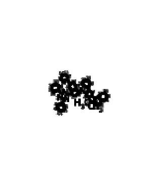 CC1(C)c2cc3c(cc2-c2c1ccc1ccccc21)c1ccccc1n3-c1ccc(-c2nc(-c3ccccc3)nc(-c3ccccc3)n2)c2cc(-c3ccccc3)ccc12